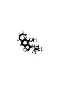 CCC(=O)NC1COc2cc3c(c(O)c21)OCCC3